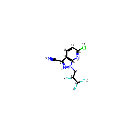 N#Cc1nn(CC(F)C(F)F)c2nc(Cl)ccc12